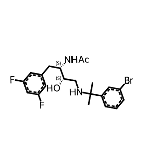 CC(=O)N[C@@H](Cc1cc(F)cc(F)c1)[C@@H](O)CNC(C)(C)c1cccc(Br)c1